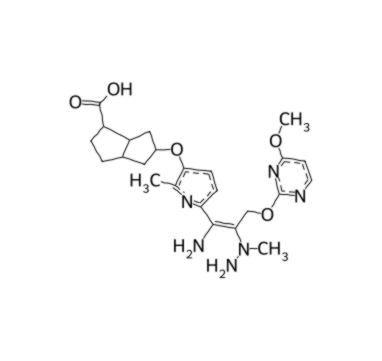 COc1ccnc(OC/C(=C(/N)c2ccc(OC3CC4CCC(C(=O)O)C4C3)c(C)n2)N(C)N)n1